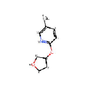 CC(C)(C)c1ccc(OC2CCOC2)nc1